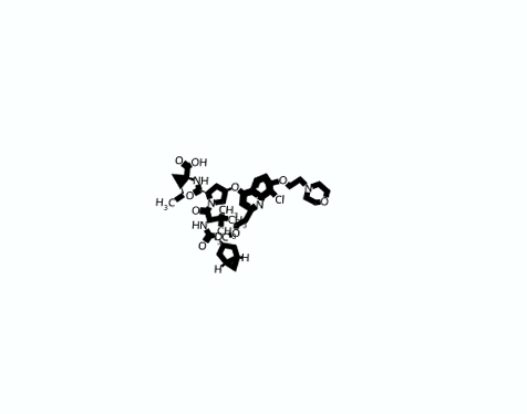 CC[C@@H]1C[C@]1(NC(=O)[C@@H]1C[C@@H](Oc2cc(CCOC)nc3c(Cl)c(OCCN4CCOCC4)ccc23)CN1C(=O)[C@@H](NC(=O)O[C@@H]1C[C@@H]2C[C@@H]2C1)C(C)(C)C)C(=O)O